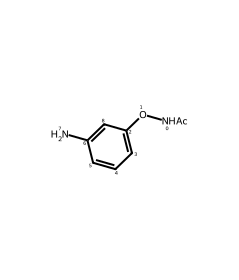 CC(=O)NOc1cccc(N)c1